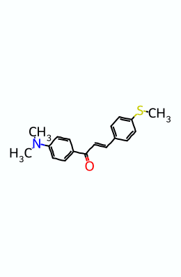 CSc1ccc(C=CC(=O)c2ccc(N(C)C)cc2)cc1